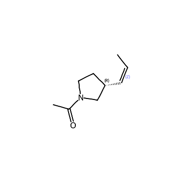 C/C=C\[C@H]1CCN(C(C)=O)C1